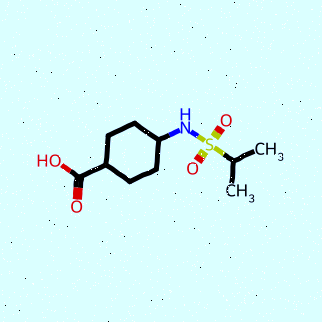 CC(C)S(=O)(=O)NC1CCC(C(=O)O)CC1